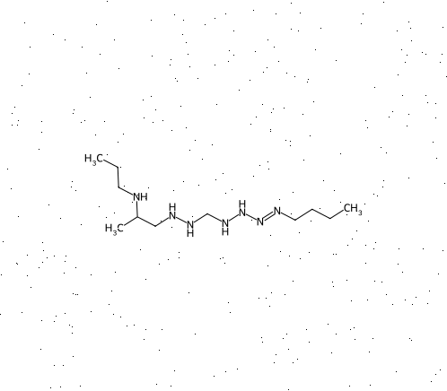 CCCCN=NNNCNNCC(C)NCCC